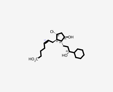 O=C(O)CCC/C=C\C[C@@H]1[C@@H](CC[C@@H](O)C2CCCCC2)[C@H](O)C[C@H]1Cl